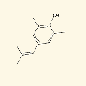 CC(C)=Cc1cc(C)c(O)c(C)c1